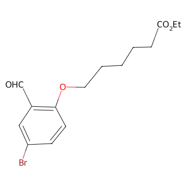 CCOC(=O)CCCCCOc1ccc(Br)cc1C=O